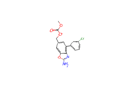 COC(=O)OCc1cc(-c2cccc(Cl)c2)c2nc(N)oc2c1